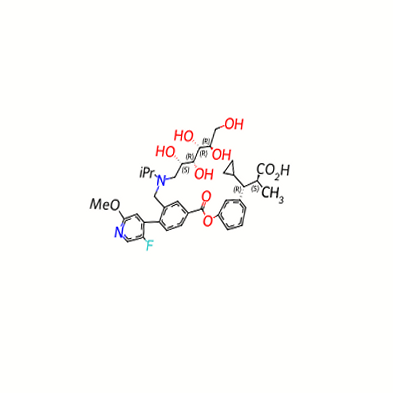 COc1cc(-c2ccc(C(=O)Oc3cccc([C@H](C4CC4)[C@H](C)C(=O)O)c3)cc2CN(C[C@H](O)[C@@H](O)[C@H](O)[C@H](O)CO)C(C)C)c(F)cn1